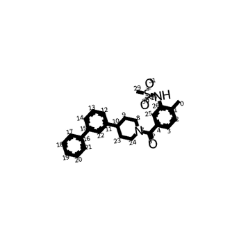 Cc1ccc(C(=O)N2CCC(c3cccc(-c4ccccc4)c3)CC2)cc1NS(C)(=O)=O